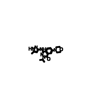 Cc1cc(Nc2nn(C(C)C)c(=O)c3cc(N4CCOCC4)ccc23)n[nH]1